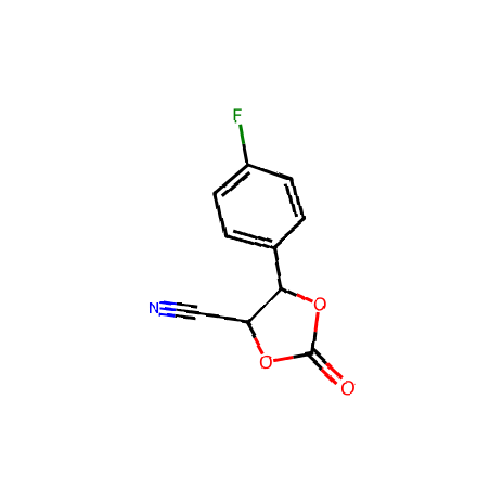 N#CC1OC(=O)OC1c1ccc(F)cc1